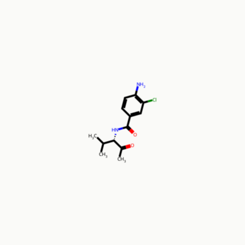 CC(=O)[C@@H](NC(=O)c1ccc(N)c(Cl)c1)C(C)C